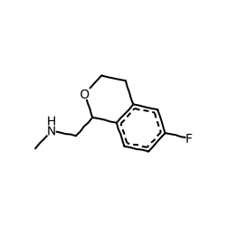 CNCC1OCCc2cc(F)ccc21